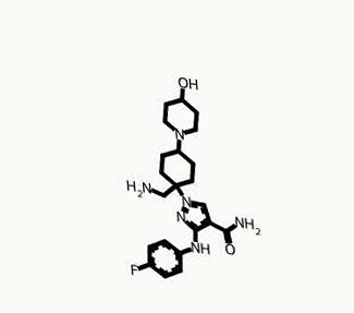 NCC1(n2cc(C(N)=O)c(Nc3ccc(F)cc3)n2)CCC(N2CCC(O)CC2)CC1